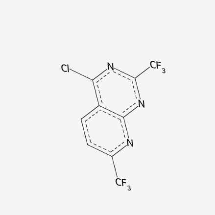 FC(F)(F)c1ccc2c(Cl)nc(C(F)(F)F)nc2n1